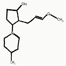 COC=CCC1C(O)CCC1N1CCC(C)CC1